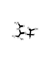 CC(C)[C@H](N)C(=O)NC(N)=O.O=C(O)C(F)(F)F